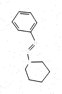 c1ccc(/N=N/N2CCCCC2)cc1